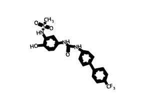 CS(=O)(=O)Nc1cc(NC(=O)Nc2ccc(-c3ccc(C(F)(F)F)cc3)cc2)ccc1O